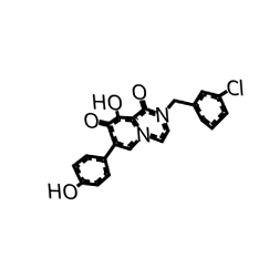 O=c1c(-c2ccc(O)cc2)cn2ccn(Cc3cccc(Cl)c3)c(=O)c2c1O